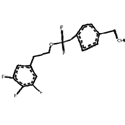 CCc1ccc(C(F)(F)OCCc2cc(F)c(F)c(F)c2)cc1